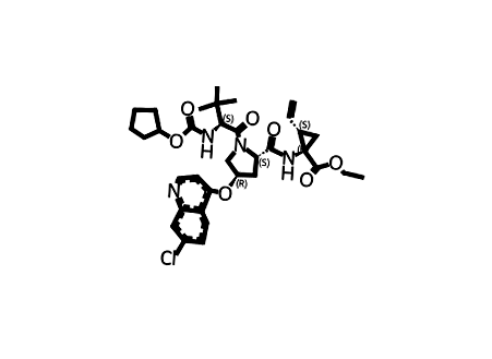 C=C[C@@H]1C[C@]1(NC(=O)[C@@H]1C[C@@H](Oc2ccnc3cc(Cl)ccc23)CN1C(=O)[C@@H](NC(=O)OC1CCCC1)C(C)(C)C)C(=O)OCC